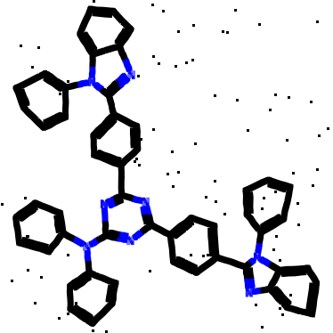 c1ccc(N(c2ccccc2)c2nc(-c3ccc(-c4nc5ccccc5n4-c4ccccc4)cc3)nc(-c3ccc(-c4nc5ccccc5n4-c4ccccc4)cc3)n2)cc1